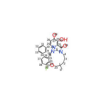 CC1CCCN2CN([C@@H](c3ccccc3)c3cccc(F)c3OC1)n1ccc(=O)c(O)c1C2=O